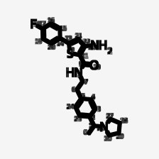 CC(c1ccc(CCNC(=O)c2sc(-c3ccc(F)cc3)cc2N)cc1)N1CCCC1